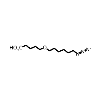 [N-]=[N+]=NCCCCCCOCCCCC(=O)O